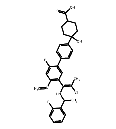 C=Nc1cc(F)c(-c2ccc(C3(O)CCC(C(=O)O)CC3)cc2)cc1/C(NC(C)c1ccccc1F)=C(\C)Cl